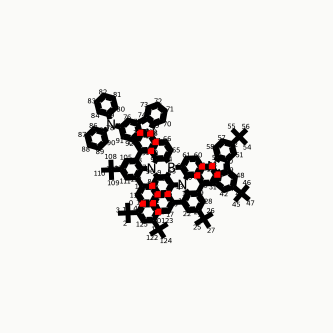 CC(C)(C)c1cc(-c2cc3c4c(c2)N(c2c(-c5ccccc5)cc(C(C)(C)C)cc2-c2ccccc2)c2cc(-n5c6ccc(C(C)(C)C)cc6c6cc(C(C)(C)C)ccc65)ccc2B4c2ccc(-n4c5ccccc5c5cc(N(c6ccccc6)c6ccccc6)ccc54)cc2N3c2c(-c3ccccc3)cc(C(C)(C)C)cc2-c2ccccc2)cc(C(C)(C)C)c1